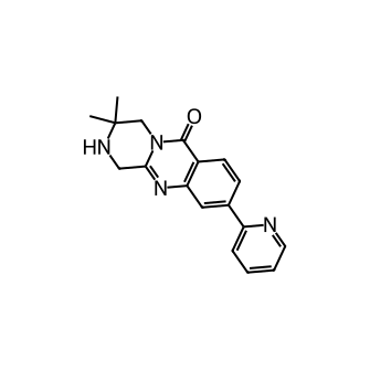 CC1(C)Cn2c(nc3cc(-c4ccccn4)ccc3c2=O)CN1